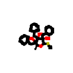 CCS[C@@H]1O[C@H](C)[C@](O)(Cc2ccccc2)[C@@](O)(Cc2ccccc2)[C@]1(O)Cc1ccccc1